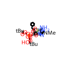 CNc1nc(N)nc2c1ncn2[C@@H]1O[C@H](COP(=O)(OCOC(=O)C(C)(C)C)OCOC(O)C(C)(C)C)[C@@H](OC(=O)Cc2ccccc2)[C@@]1(C)F